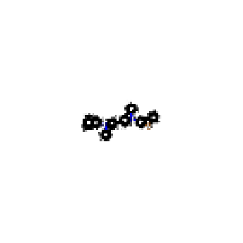 CC1(C)CCC(C)(C)c2cc(-n3c4ccccc4c4cc(-c5ccc6c(c5)c5ccccc5n6-c5ccc6sc7ccccc7c6c5)ccc43)ccc21